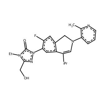 CCn1c(CO)nn(-c2cc3c(cc2F)CN(c2cccnc2C)C=C3C(C)C)c1=O